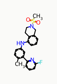 Cc1ccc(Nc2cccc3c2CCN(S(C)(=O)=O)C3)cc1-c1cccc(F)n1